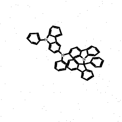 c1ccc(N(c2ccc3c(c2)c2ccccc2n3-c2ccccc2)c2ccc3c4ccccc4n(C4(c5ccccc5)c5ccccc5-c5ccccc54)c3c2)cc1